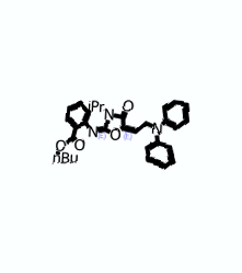 CCCCOC(=O)c1ccccc1/N=C1/O/C(=C/CN(c2ccccc2)c2ccccc2)C(=O)N1C(C)C